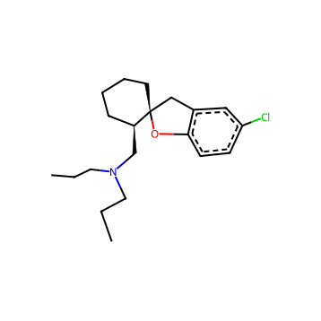 CCCN(CCC)C[C@H]1CCCC[C@]12Cc1cc(Cl)ccc1O2